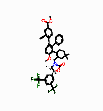 COC(=O)c1ccc(-c2ccc(OC)c(C3=C(CN4C(=O)O[C@@H](c5cc(C(F)(F)F)cc(C(F)(F)F)c5)[C@@H]4C)CC(C)(C)CC3)c2-c2ccccc2)c(C)c1